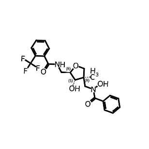 C[C@@]1(CN(O)C(=O)c2ccccc2)CO[C@H](CNC(=O)c2ccccc2C(F)(F)F)[C@H]1O